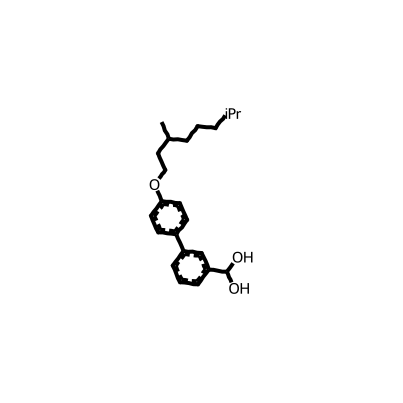 CC(C)CCCC(C)CCOc1ccc(-c2cccc(C(O)O)c2)cc1